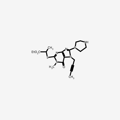 CC#CCn1c(N2CCNCC2)nc2nc(SC(C)C(=O)OCC)n(C)c(=O)c21